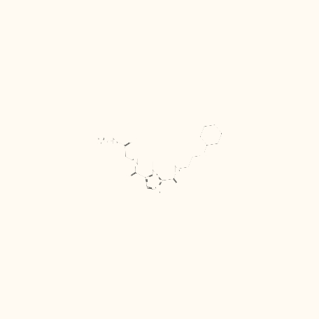 CNC(=O)CNC(=O)c1cnc(C(=O)NCCOC2CCCCC2)[nH]1